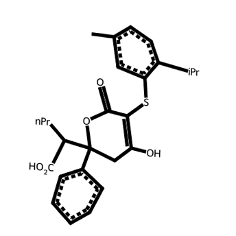 CCCC(C(=O)O)C1(c2ccccc2)CC(O)=C(Sc2cc(C)ccc2C(C)C)C(=O)O1